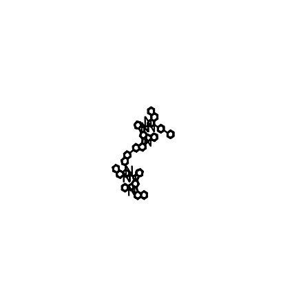 c1ccc(-c2ccc(-c3nc(-n4c5ccccc5c5cc6c7c8ccc(-c9ccc%10ccc(-c%11nc(-n%12c%13ccccc%13c%13cc%14c%15c%16ccccc%16ccc%15n%15c%16ccccc%16c(c%13%12)c%14%15)nc%12ccc%13ccccc%13c%11%12)cc%10c9)cc8ccc7n7c8ccccc8c(c54)c67)nc4c3ccc3ccccc34)cc2)cc1